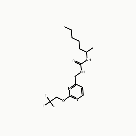 CCCCCC(C)NC(=O)NCc1ccnc(OCC(F)(F)F)n1